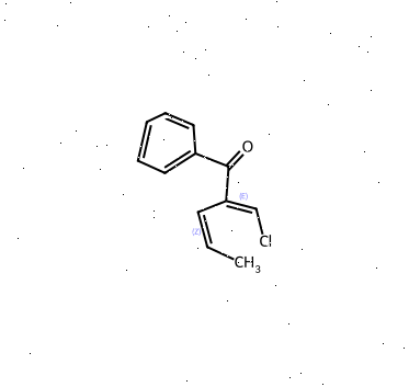 C/C=C\C(=C/Cl)C(=O)c1ccccc1